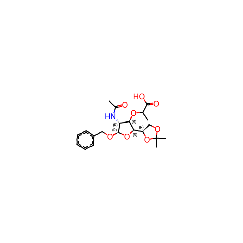 CC(=O)N[C@H]1[C@H](OCc2ccccc2)O[C@H]([C@H]2COC(C)(C)O2)[C@@H]1OC(C)C(=O)O